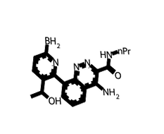 Bc1ccc(C(C)O)c(-c2cccc3c(N)c(C(=O)NCCC)nnc23)n1